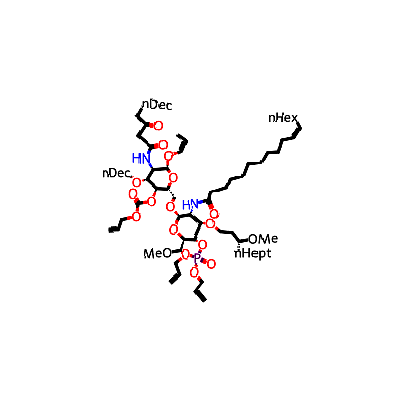 C=CCOC(=O)O[C@H]1[C@H](OCCCCCCCCCC)[C@@H](NC(=O)CC(=O)CCCCCCCCCCC)[C@@H](O/C=C\C)O[C@@H]1CO[C@@H]1O[C@H](COC)[C@@H](OP(=O)(OCC=C)OCC=C)[C@H](OCC[C@@H](CCCCCCC)OC)[C@H]1NC(=O)CCCCCCCCC/C=C\CCCCCC